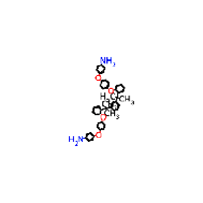 CC(C)(c1cccc(C(C)(C)c2ccccc2Oc2ccc(Oc3ccc(N)cc3)cc2)c1)c1ccccc1Oc1ccc(Oc2ccc(N)cc2)cc1